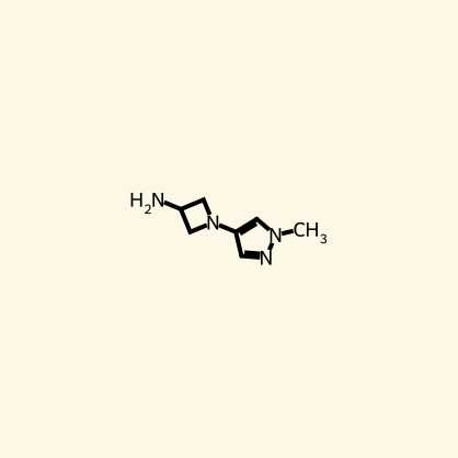 Cn1cc(N2CC(N)C2)cn1